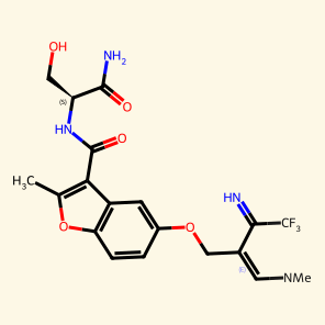 CN/C=C(/COc1ccc2oc(C)c(C(=O)N[C@@H](CO)C(N)=O)c2c1)C(=N)C(F)(F)F